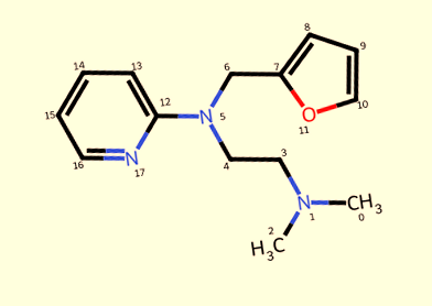 CN(C)CCN(Cc1ccco1)c1ccccn1